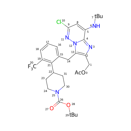 CC(=O)OCc1nc2c(NC(C)(C)C)cc(Cl)nn2c1Cc1cccc(C(F)(F)F)c1C1CCN(C(=O)OC(C)(C)C)CC1